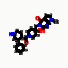 CCn1ccc2c(=O)n(CC3(O)CCN(C(=O)[C@H]4CCNC[C@@H]4c4ccccc4)CC3)cnc21